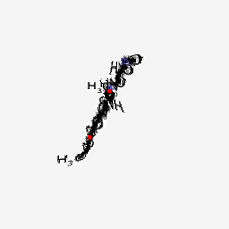 COCCOCCOCCOCCOCCOCC(=O)Nc1ccc(/C(C)=N/NC(=O)CCNC(=O)/C=C\C=O)cc1